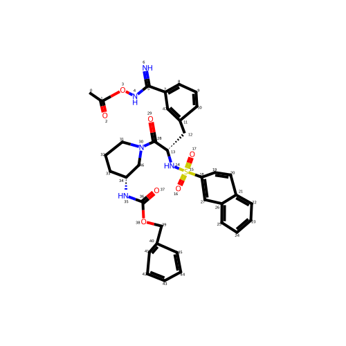 CC(=O)ONC(=N)c1cccc(C[C@H](NS(=O)(=O)c2ccc3ccccc3c2)C(=O)N2CCC[C@@H](NC(=O)OCc3ccccc3)C2)c1